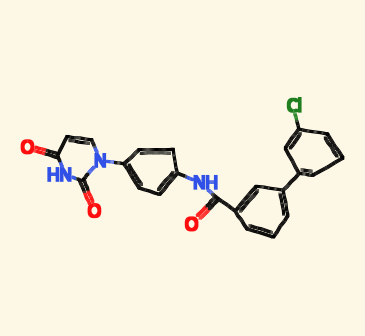 O=C(Nc1ccc(-n2ccc(=O)[nH]c2=O)cc1)c1cccc(-c2cccc(Cl)c2)c1